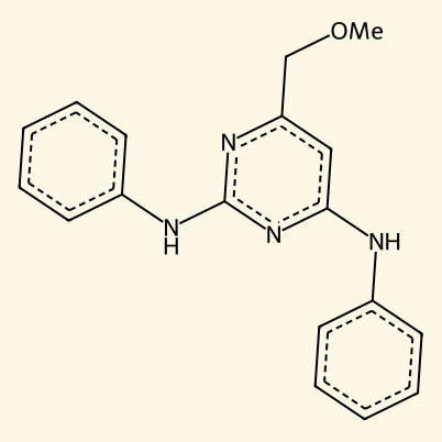 COCc1cc(Nc2ccccc2)nc(Nc2ccccc2)n1